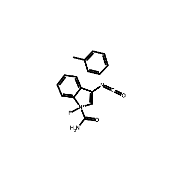 Cc1ccccc1.NC(=O)[N+]1(F)C=C(N=C=O)c2ccccc21